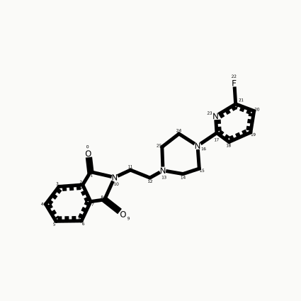 O=C1c2ccccc2C(=O)N1CCN1CCN(c2cccc(F)n2)CC1